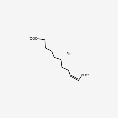 CCCCCCCC/C=C\CCCCCCCC(=O)[O-].[Rb+]